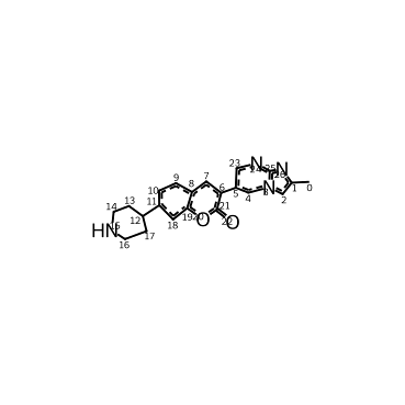 Cc1cn2cc(-c3cc4ccc(C5CCNCC5)cc4oc3=O)cnc2n1